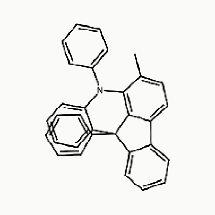 Cc1ccc2c3c1N(c1ccccc1)c1ccccc1C3(c1ccccc1)c1ccccc1-2